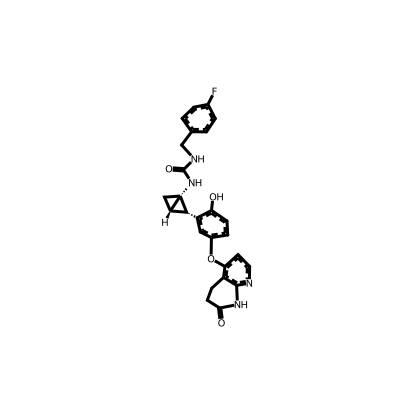 O=C1CCc2c(Oc3ccc(O)c([C@@H]4[C@@H]5C[C@@]45NC(=O)NCc4ccc(F)cc4)c3)ccnc2N1